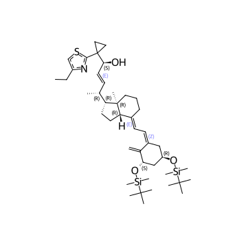 C=C1/C(=C\C=C2/CCC[C@]3(C)[C@@H]([C@H](C)/C=C/[C@H](O)C4(c5nc(CC)cs5)CC4)CC[C@@H]23)C[C@@H](O[Si](C)(C)C(C)(C)C)C[C@@H]1O[Si](C)(C)C(C)(C)C